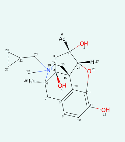 CC(=O)[C@]1(O)C[C@@]2(O)[C@H]3Cc4ccc(O)c5c4[C@@]2(CC[N+]3(C)CC2CC2)[C@H]1O5